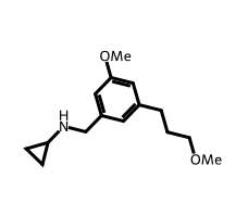 COCCCc1cc(CNC2CC2)cc(OC)c1